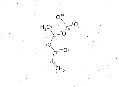 C=CC(=O)OC(C)OC(Cl)Cl